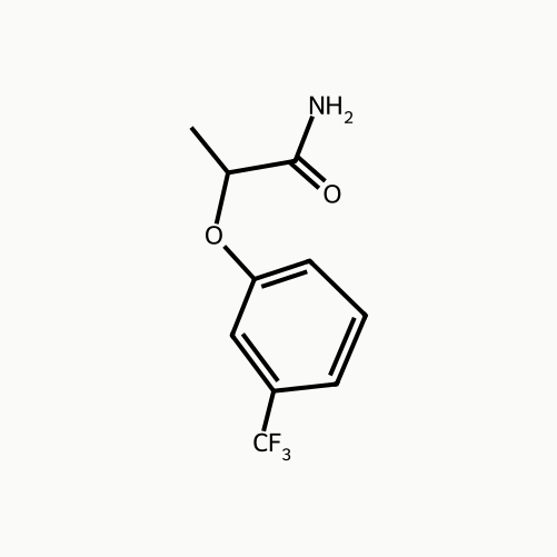 CC(Oc1cccc(C(F)(F)F)c1)C(N)=O